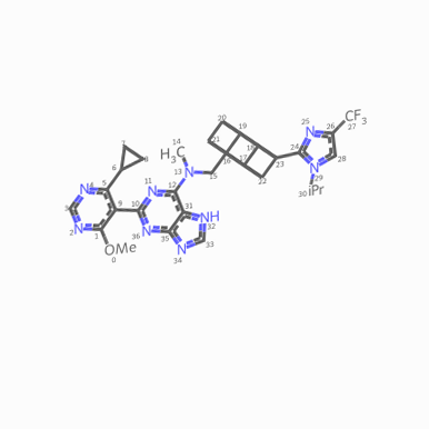 COc1ncnc(C2CC2)c1-c1nc(N(C)CC23C4C5C2C2C3C4C52c2nc(C(F)(F)F)cn2C(C)C)c2[nH]cnc2n1